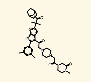 Cc1cc(C)cc(-c2[nH]c3sc(C(C)(C)C(=O)N4C5CCC4CC5)cc3c2C(=O)CN2CCN(CC(=O)N3CCN(C)C(=O)C3)CC2)c1